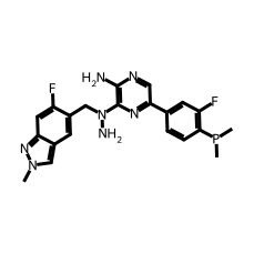 Cn1cc2cc(CN(N)c3nc(-c4ccc(P(C)C)c(F)c4)cnc3N)c(F)cc2n1